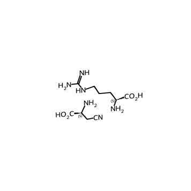 N#CC[C@H](N)C(=O)O.N=C(N)NCCC[C@H](N)C(=O)O